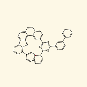 c1ccc(-c2cccc(-c3nc(-c4ccccc4)nc(-c4ccc5ccc6ccc7c8cccc(-c9ccccc9)c8sc7c6c5c4)n3)c2)cc1